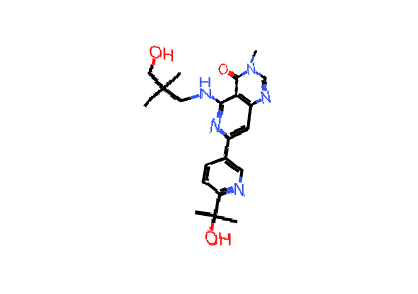 Cn1cnc2cc(-c3ccc(C(C)(C)O)nc3)nc(NCC(C)(C)CO)c2c1=O